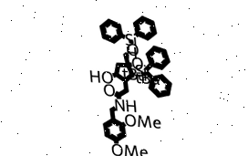 COc1ccc(CNC(=O)CC2C(O)CC(CO[SiH](c3ccccc3)c3ccccc3)(O[Si](c3ccccc3)(c3ccccc3)C(C)(C)C)C2C(C)(C)C)c(OC)c1